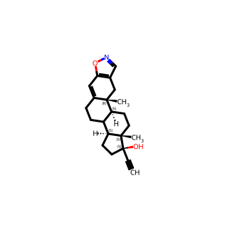 C#C[C@]1(O)CC[C@H]2C3CCC4=Cc5oncc5C[C@]4(C)[C@H]3CC[C@@]21C